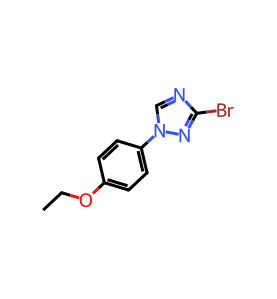 CCOc1ccc(-n2cnc(Br)n2)cc1